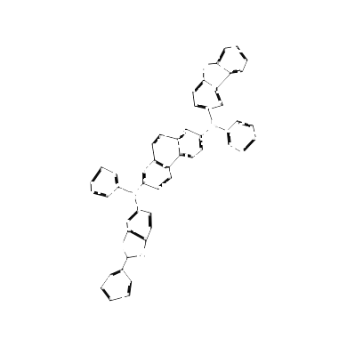 c1ccc(C2Nc3ccc(N(c4ccccc4)c4ccc5c(ccc6cc(N(c7ccccc7)c7ccc8oc9ccccc9c8c7)ccc65)c4)cc3O2)cc1